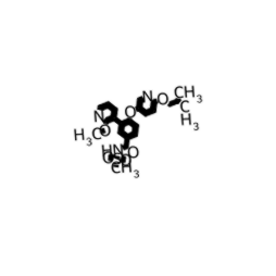 COc1ncccc1-c1cc(C(=O)NS(C)(=O)=O)ccc1Oc1ccc(OCC(C)C)nc1